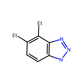 CCc1ccc2c(c1CC)N=N[N]2